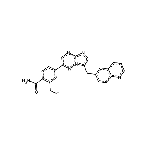 NC(=O)c1ccc(-c2cnc3ncc(Cc4ccc5ncccc5c4)n3n2)cc1CF